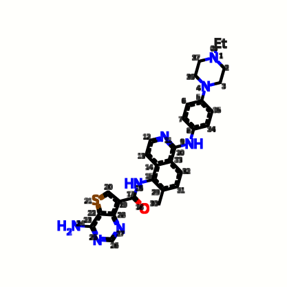 CCN1CCN(c2ccc(Nc3nccc4c(NC(=O)c5csc6c(N)ncnc56)c(C)ccc34)cc2)CC1